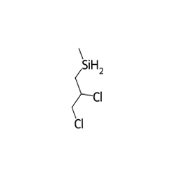 C[SiH2]CC(Cl)CCl